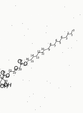 CCCCCCCCCCCCCCCCCOC(=O)COCCOC(=O)C(CC)(CO)CO